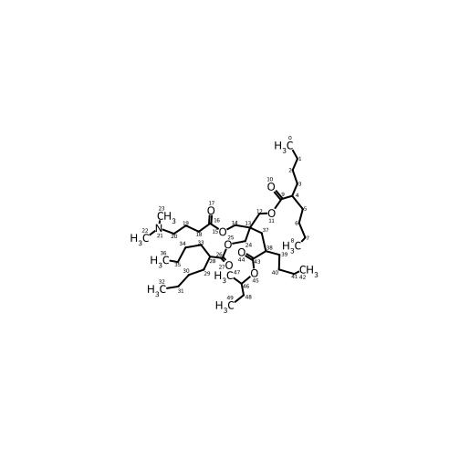 CCCCC(CCCC)C(=O)OCC(COC(=O)CCCN(C)C)(COC(=O)C(CCCC)CCCC)CC(CCCC)C(=O)OC(C)CC